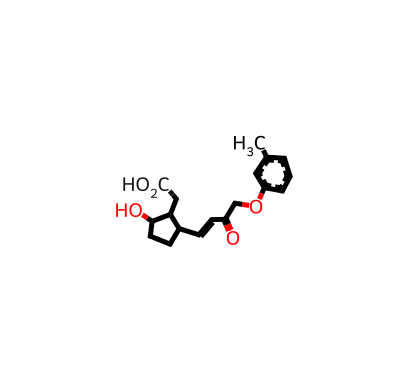 Cc1cccc(OCC(=O)C=CC2CCC(O)C2CC(=O)O)c1